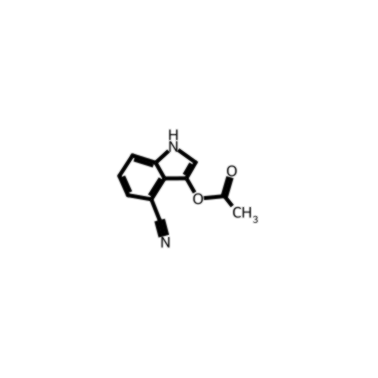 CC(=O)Oc1c[nH]c2cccc(C#N)c12